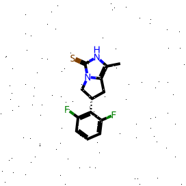 Cc1[nH]c(=S)n2c1C[C@H](c1c(F)cccc1F)C2